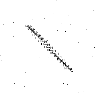 C=CNNNNNNNNNNNNNNNNNNNNNNNNNNNNNO